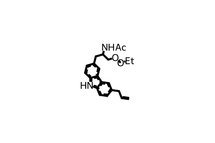 C=CCc1ccc2[nH]c3ccc(CC(COOCC)NC(C)=O)cc3c2c1